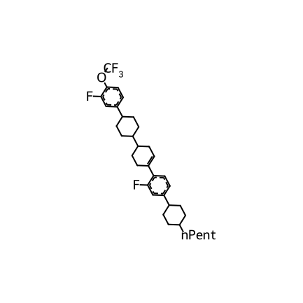 CCCCCC1CCC(c2ccc(C3=CCC(C4CCC(c5ccc(OC(F)(F)F)c(F)c5)CC4)CC3)c(F)c2)CC1